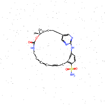 C[C@@H]1CCCc2cnc(nc2)Nc2ccc(S(N)(=O)=O)c(c2)CC=CCCCCNC(=O)O1